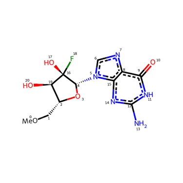 COC[C@H]1O[C@@H](n2cnc3c(=O)[nH]c(N)nc32)[C@@](O)(F)[C@@H]1O